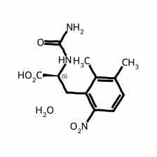 Cc1ccc([N+](=O)[O-])c(C[C@H](NC(N)=O)C(=O)O)c1C.O